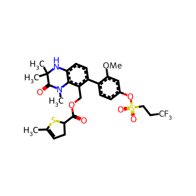 COc1cc(OS(=O)(=O)CCC(F)(F)F)ccc1-c1ccc2c(c1COC(=O)C1CC=C(C)S1)N(C)C(=O)C(C)(C)N2